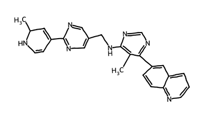 Cc1c(NCc2cnc(C3=CC(C)NC=C3)nc2)ncnc1-c1ccc2ncccc2c1